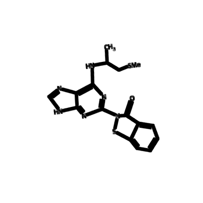 CSCC(C)Nc1nc(-n2sc3ccccc3c2=O)nc2[nH]cnc12